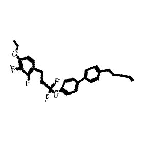 CCCCc1ccc(-c2ccc(OC(F)(F)CCc3ccc(OCC)c(F)c3F)cc2)cc1